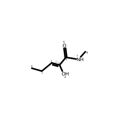 CC/C=C(\O)C(=O)NC